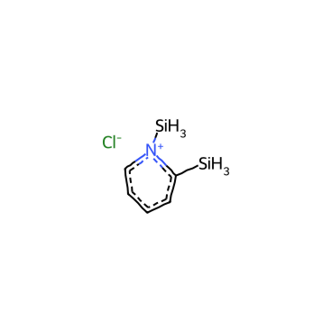 [Cl-].[SiH3]c1cccc[n+]1[SiH3]